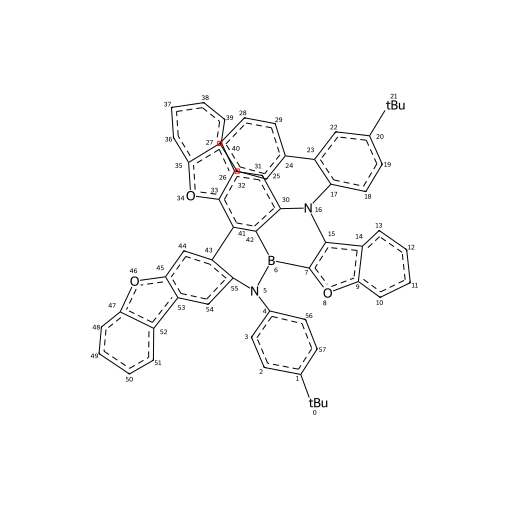 CC(C)(C)c1ccc(N2B3c4oc5ccccc5c4N(c4ccc(C(C)(C)C)cc4-c4ccccc4)c4cc5c(oc6ccccc65)c(c43)-c3cc4oc5ccccc5c4cc32)cc1